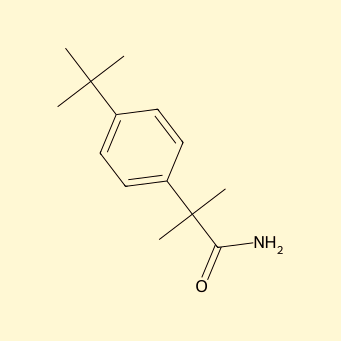 CC(C)(C)c1ccc(C(C)(C)C(N)=O)cc1